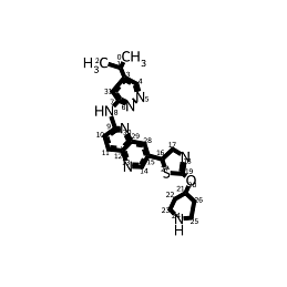 CC(C)c1cnnc(Nc2ccc3ncc(C4CN=C(OC5CCNCC5)S4)cc3n2)c1